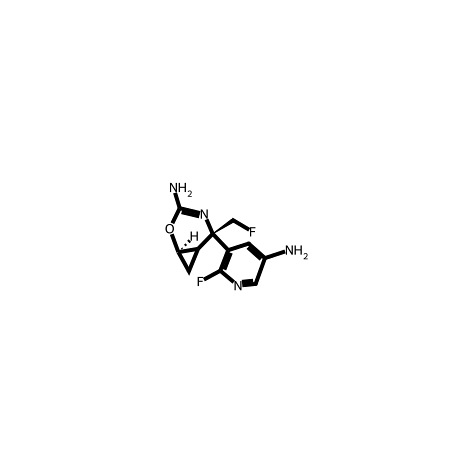 NC1=N[C@](CF)(c2cc(N)cnc2F)C2C[C@H]2O1